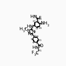 Cn1nc(-c2ccc(C(=O)NCC(F)(F)F)cc2)nc1Nc1ccc(N)c(C(=N)F)c1